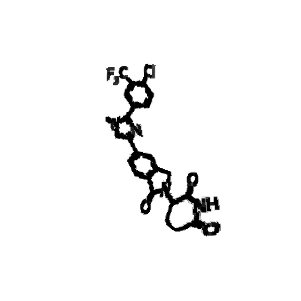 Cn1cc(-c2ccc3c(c2)CN(C2CCC(=O)NC2=O)C3=O)nc1-c1ccc(Cl)c(C(F)(F)F)c1